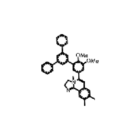 COc1cc(C2=Cc3cc(C)c(C)cc3C3=NCC[N+]23C)cc(-c2cc(-c3ccccc3)cc(-c3ccccc3)c2)c1OC